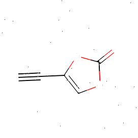 C#Cc1coc(=O)o1